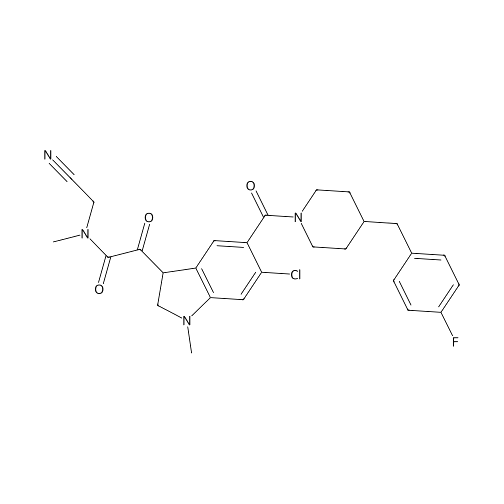 CN(CC#N)C(=O)C(=O)C1CN(C)c2cc(Cl)c(C(=O)N3CCC(Cc4ccc(F)cc4)CC3)cc21